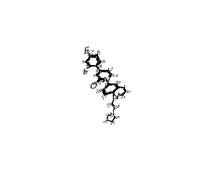 O=c1cc(-c2ccc(F)cc2F)ccn1-c1ccc2c(c1)C=C=CN2CCN1CCCC1